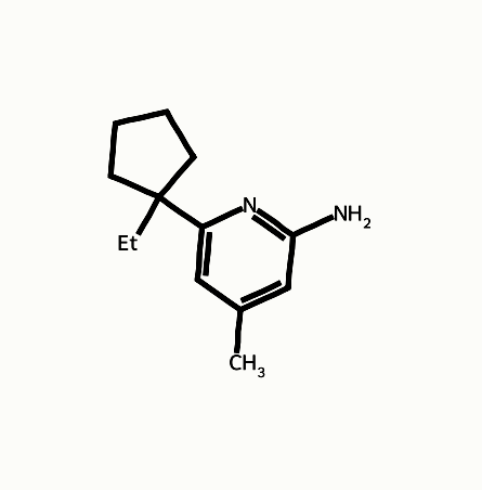 CCC1(c2cc(C)cc(N)n2)CCCC1